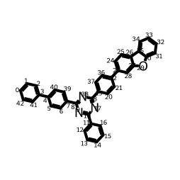 c1ccc(-c2ccc(-c3nc(-c4ccccc4)nc(-c4ccc(-c5ccc6c(c5)oc5ccccc56)cc4)n3)cc2)cc1